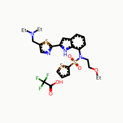 CCOCCN(c1cccc2cc(-c3ncc(CN(CC)CC)s3)[nH]c12)S(=O)(=O)c1cccs1.O=C(O)C(F)(F)F